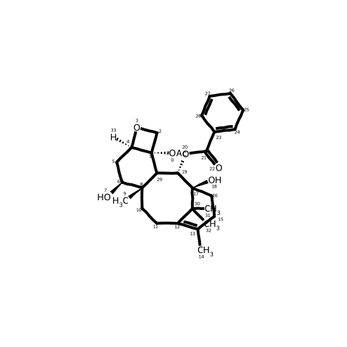 CC(=O)O[C@@]12CO[C@@H]1C[C@H](O)[C@@]1(C)CCC3=C(C)CC[C@@](O)([C@@H](OC(=O)c4ccccc4)C12)C3(C)C